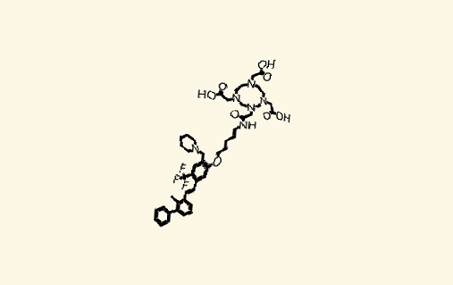 Cc1c(/C=C/c2cc(OCCCCCNC(=O)CN3CN(CC(=O)O)CCN(CC(=O)O)CCN(CC(=O)O)C3)c(CN3CCCCC3)cc2C(F)(F)F)cccc1-c1ccccc1